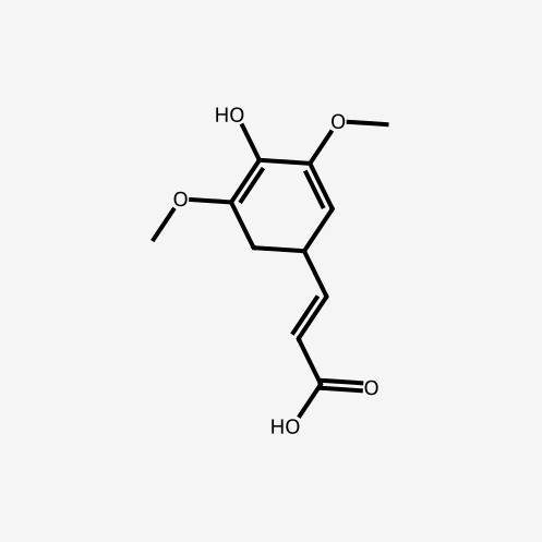 COC1=CC(C=CC(=O)O)CC(OC)=C1O